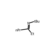 CCCC(CC)=NC(C)(C)C